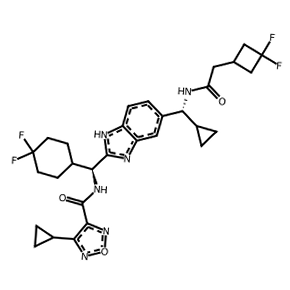 O=C(CC1CC(F)(F)C1)N[C@@H](c1ccc2[nH]c([C@@H](NC(=O)c3nonc3C3CC3)C3CCC(F)(F)CC3)nc2c1)C1CC1